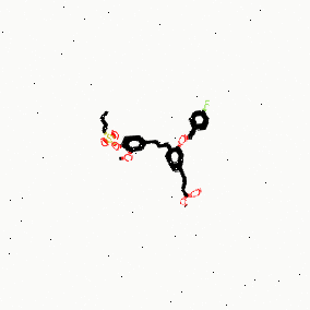 CCCCS(=O)(=O)Oc1ccc(CCCc2ccc(CCC(=O)OC)cc2OCc2ccc(F)cc2)cc1OC